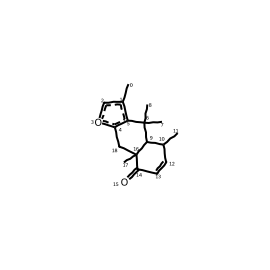 Cc1coc2c1C(C)(C)C1C(C)C=CC(=O)C1(C)C2